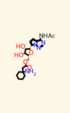 CC(=O)Nc1ncnn2c([C@@H]3O[C@H](COC(=O)CC4(N)CCCCC4)[C@@H](O)[C@H]3O)ccc12